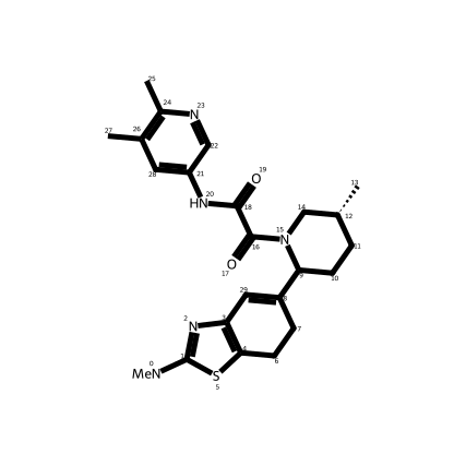 CNc1nc2c(s1)CCC(C1CC[C@@H](C)CN1C(=O)C(=O)Nc1cnc(C)c(C)c1)=C2